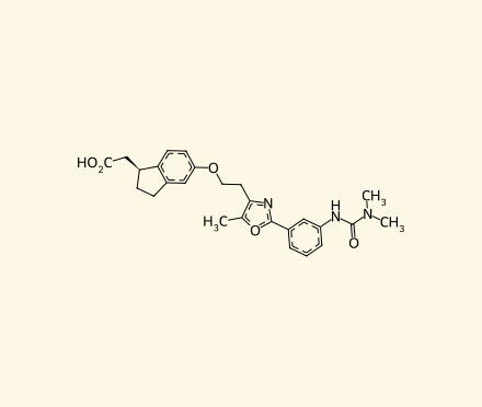 Cc1oc(-c2cccc(NC(=O)N(C)C)c2)nc1CCOc1ccc2c(c1)CC[C@H]2CC(=O)O